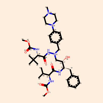 COC(=O)N[C@H](C(=O)N[C@@H](Cc1ccccc1)[C@@H](O)CN(Cc1ccc(N2CCN(C)CC2)cc1)NC(=O)[C@@H](NC(=O)OC)C(C)(C)C)C(C)C